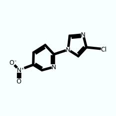 O=[N+]([O-])c1ccc(-n2cnc(Cl)c2)nc1